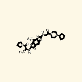 Cc1c2nc(NCC(=O)N3CCN(C4CCCC4)CC3)sc2cc2sc(NC(C)C(=O)N3CCCC3)nc12